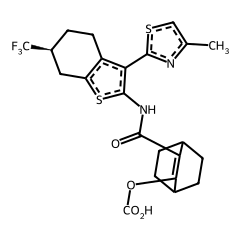 Cc1csc(-c2c(NC(=O)C3=C(OC(=O)O)C4CCC3CC4)sc3c2CC[C@H](C(F)(F)F)C3)n1